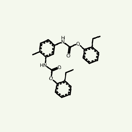 CCc1ccccc1OC(=O)Nc1ccc(C)c(NC(=O)Oc2ccccc2CC)c1